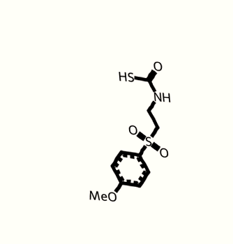 COc1ccc(S(=O)(=O)CCNC(=O)S)cc1